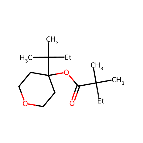 CCC(C)(C)C(=O)OC1(C(C)(C)CC)CCOCC1